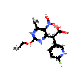 CCOc1nc(C)c([N+](=O)[O-])c(C(C(=O)O)c2ccc(F)nc2)n1